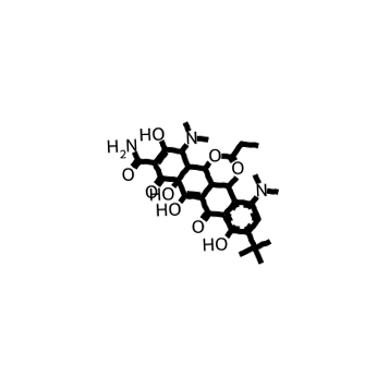 CCC(=O)OC1C2C(=C(O)C3(O)C(=O)C(C(N)=O)=C(O)C(N(C)C)C13)C(=O)c1c(O)c(C(C)(C)C)cc(N(C)C)c1C2C